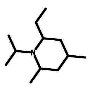 CCC1CC(C)CC(C)N1C(C)C